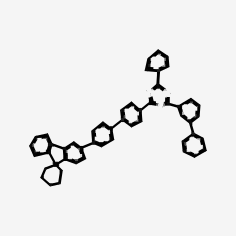 c1ccc(-c2cccc(-c3nc(-c4ccccc4)nc(-c4ccc(-c5ccc(-c6ccc7c(c6)-c6ccccc6C76CCCCC6)cc5)cc4)n3)c2)cc1